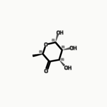 C[C@H]1O[C@H](O)[C@H](O)[C@H](O)C1=O